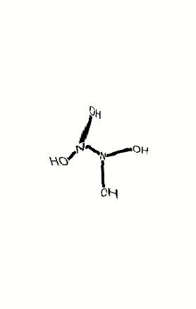 ON(O)N(O)O